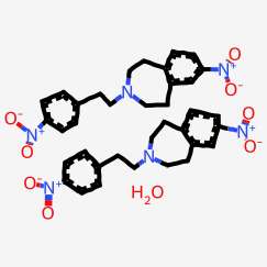 O.O=[N+]([O-])c1ccc(CCN2CCc3ccc([N+](=O)[O-])cc3CC2)cc1.O=[N+]([O-])c1ccc(CCN2CCc3ccc([N+](=O)[O-])cc3CC2)cc1